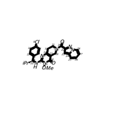 COn1c(N[C@H](c2ccc(Cl)cc2)C(C)C)nc2c(c1=O)CN(C(=O)c1cc3ccccn3n1)CC2